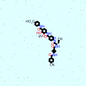 C#CC[C@H](NC(=O)C12CC(NC(=O)c3ccc(C#N)cc3)(C1)C2)C(=O)Nc1ccc(C(=O)Nc2ccc(C(=O)Nc3ccc(C(=O)O)cc3)c(O)c2OC(C)C)cc1